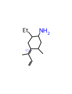 C=C/C(C)=C1/CC(CC)C(N)CC1C